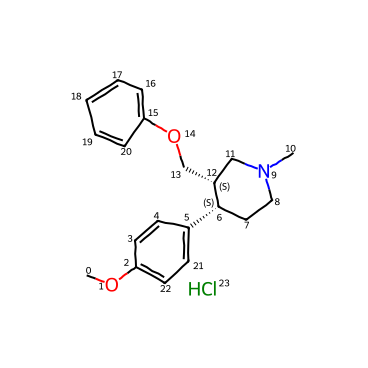 COc1ccc([C@H]2CCN(C)C[C@H]2COc2ccccc2)cc1.Cl